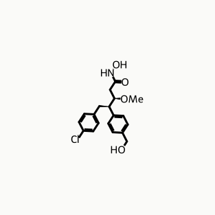 CO[C@H](CC(=O)NO)[C@H](Cc1ccc(Cl)cc1)c1ccc(CO)cc1